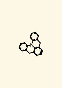 c1cc2c3c(c#1)Cc1ccccc1N3c1ccccc1C2